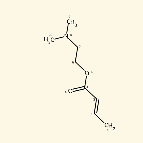 C/C=C/C(=O)OCCN(C)C